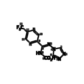 O=C(O)N/C(=N\n1cnnc1)c1ccc(C(F)(F)F)cc1